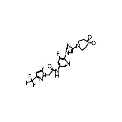 Cc1cc(C(F)(F)F)nn1CC(=O)Nc1cnc(-n2cnc(N3CCS(=O)(=O)CC3)c2)c(F)c1